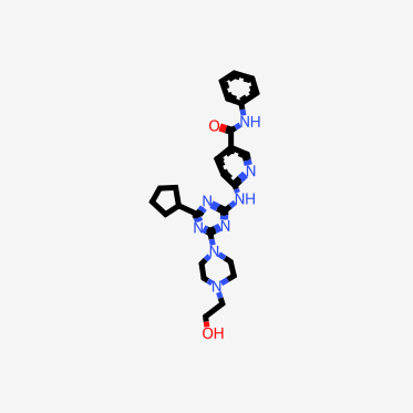 O=C(Nc1ccccc1)c1ccc(Nc2nc(C3CCCC3)nc(N3CCN(CCO)CC3)n2)nc1